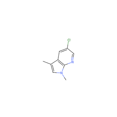 Cc1cn(C)c2ncc(Cl)cc12